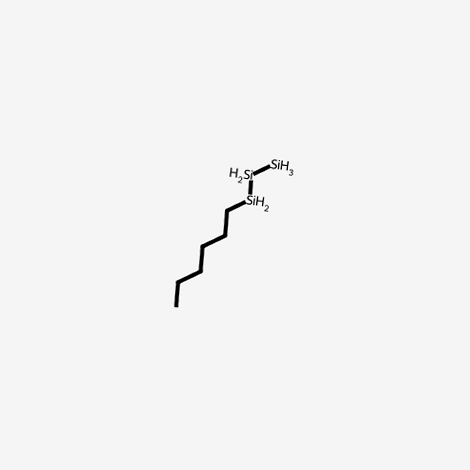 CCCCCC[SiH2][SiH2][SiH3]